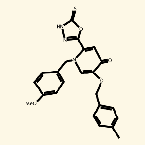 COc1ccc(Cn2cc(OCc3ccc(C)cc3)c(=O)cc2-c2n[nH]c(=S)o2)cc1